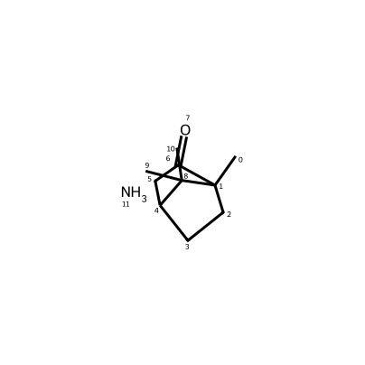 CC12CCC(CC1=O)C2(C)C.N